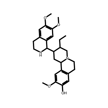 CCC1CN2CCc3cc(O)c(OC)cc3C2CC1C1NCCc2cc(OC)c(OC)cc21